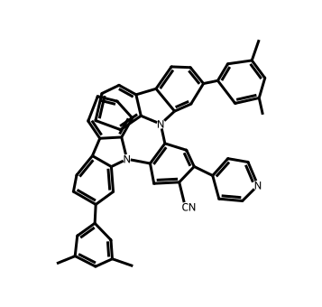 Cc1cc(C)cc(-c2ccc3c4ccccc4n(-c4cc(C#N)c(-c5ccncc5)cc4-n4c5ccccc5c5ccc(-c6cc(C)cc(C)c6)cc54)c3c2)c1